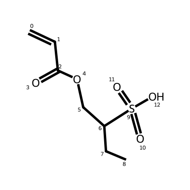 C=CC(=O)OCC(CC)S(=O)(=O)O